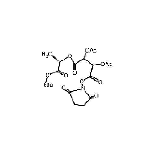 CC(=O)OC(C(=O)O[C@H](C)C(=O)OC(C)(C)C)[C@@H](OC(C)=O)C(=O)ON1C(=O)CCC1=O